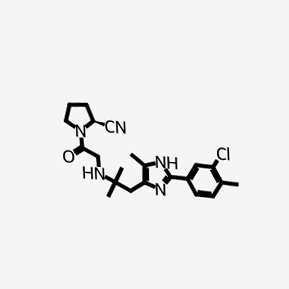 Cc1ccc(-c2nc(CC(C)(C)NCC(=O)N3CCC[C@H]3C#N)c(C)[nH]2)cc1Cl